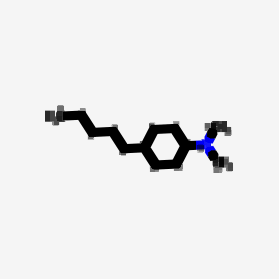 CCCCCC1CCC(N(C)C)CC1